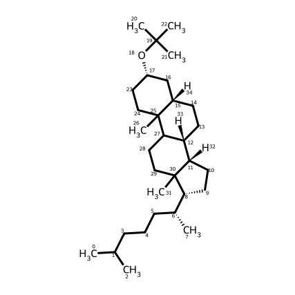 CC(C)CCC[C@@H](C)[C@H]1CC[C@H]2[C@H]3CC[C@H]4C[C@@H](OC(C)(C)C)CCC4(C)C3CCC12C